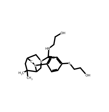 CC1(C)CC2CN(C(=O)NCCO)CC1N(c1ccc(SCCO)cc1)C2